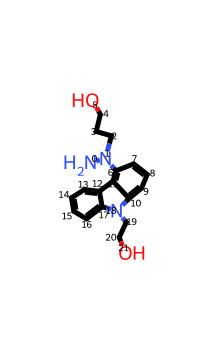 NN(CCCO)c1cccc2c1c1ccccc1n2CCO